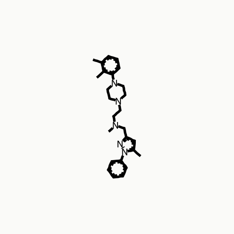 Cc1cccc(N2CCN(CCN(C)Cc3cc(C)n(-c4ccccc4)n3)CC2)c1C